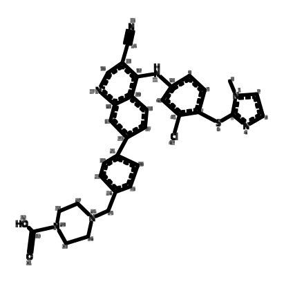 Cn1ccnc1Sc1ccc(Nc2c(C#N)cnc3cc(-c4ccc(CN5CCN(C(=O)O)CC5)cc4)ccc23)cc1Cl